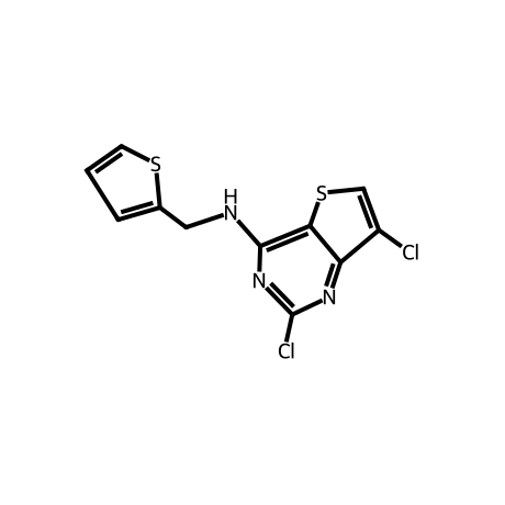 Clc1nc(NCc2cccs2)c2scc(Cl)c2n1